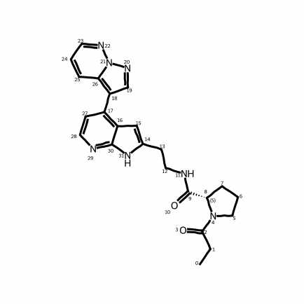 CCC(=O)N1CCC[C@H]1C(=O)NCCc1cc2c(-c3cnn4ncccc34)ccnc2[nH]1